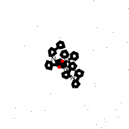 c1ccc(-c2cccc(-n3c4ccccc4c4cc(-n5c6cccc(-n7c8ccccc8c8ccccc87)c6c6cccc([Si](c7ccccc7)(c7ccccc7)c7ccccc7)c65)ccc43)c2)cc1